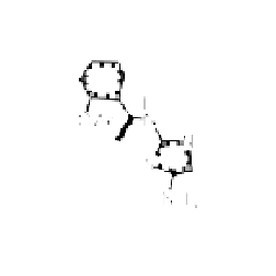 C=C(Nc1ncc(N)s1)c1ccccc1OC(C)=O